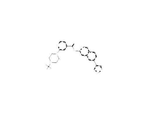 O=C(Nc1cc2cc(-c3cn[nH]c3)ccc2cn1)c1ccnc(N2CCN(C(O)(O)O)CC2)c1